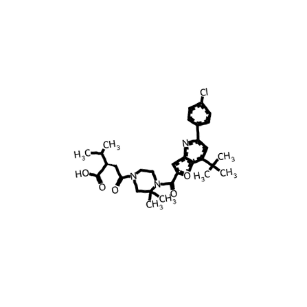 CC(C)[C@@H](CC(=O)N1CCN(C(=O)c2cc3nc(-c4ccc(Cl)cc4)cc(C(C)(C)C)c3o2)C(C)(C)C1)C(=O)O